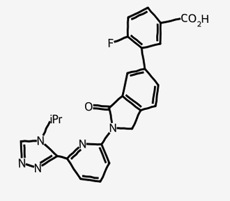 CC(C)n1cnnc1-c1cccc(N2Cc3ccc(-c4cc(C(=O)O)ccc4F)cc3C2=O)n1